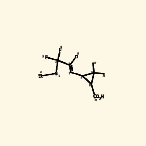 CCSC(F)(F)C(Cl)=CC1C(C(=O)O)C1(C)C